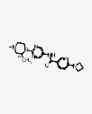 C[C@H]1CNCCN1c1ncc(NC(=O)c2ccc(N3CCC3)nc2)cn1